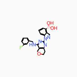 OB(O)c1cccc2c1cnn2-c1nc2c(c(NCc3cccc(F)c3)n1)COCC2